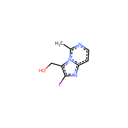 Cc1nccc2nc(I)c(CO)n12